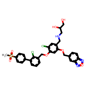 CS(=O)(=O)c1ccc(-c2cccc(COc3cc(OCc4ccc5nonc5c4)c(CNCC(O)CO)cc3Cl)c2Cl)cc1